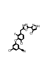 N#Cc1cc(Cl)cc(Oc2c(Cl)ccc(Cc3nnc(-c4n[nH]cc4Cl)o3)c2F)c1